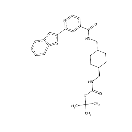 CC(C)(C)OC(=O)NC[C@H]1CC[C@H](CNC(=O)c2ccnc(-c3cc4ccccc4s3)c2)CC1